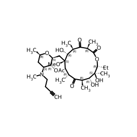 C#CCCN(C)[C@H]1C[C@@H](C)O[C@@H](C[C@@]2(OC)C[C@@H](C)C(=O)[C@H](C)[C@@H](O)[C@](C)(O)[C@@H](CC)OC(=O)[C@H](C)C(=O)[C@H](C)[C@H]2O)[C@@H]1OC(C)=O